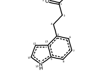 NC(=O)CCc1cccc2[nH]ccc12